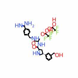 CC(NC(=O)C1C[C@H](c2cccc(CO)c2)CN1)C(=O)NCc1ccc(C(=N)N)cc1.O=C(O)C(F)(F)F.O=C(O)C(F)(F)F